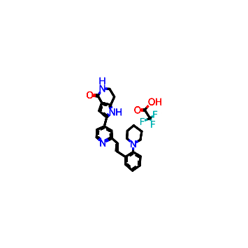 O=C(O)C(F)(F)F.O=C1NCCc2[nH]c(-c3ccnc(C=Cc4ccccc4N4CCCCC4)c3)cc21